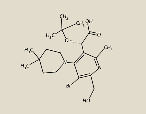 Cc1nc(CO)c(Br)c(N2CCC(C)(C)CC2)c1[C@H](OC(C)(C)C)C(=O)O